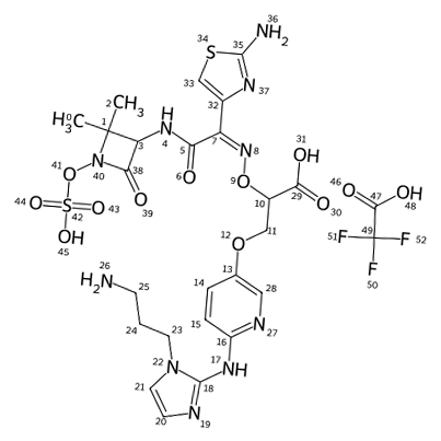 CC1(C)C(NC(=O)C(=NOC(COc2ccc(Nc3nccn3CCCN)nc2)C(=O)O)c2csc(N)n2)C(=O)N1OS(=O)(=O)O.O=C(O)C(F)(F)F